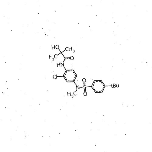 CN(c1ccc(NC(=O)C(C)(O)C(F)(F)F)c(Cl)c1)S(=O)(=O)c1ccc(C(C)(C)C)cc1